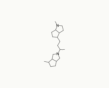 CC1CCC2CN(C(C)CCC3CCC4C3CCN4C)CC12